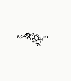 CO[C@H]1O[C@H](C=O)[C@@H]2OC(C)(C)O[C@@H]2[C@H]1Oc1cccc(C(F)(F)F)n1